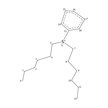 CCCCCC[S+](CCCCCC)c1ccccc1